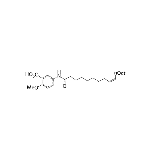 CCCCCCCC/C=C\CCCCCCCC(=O)Nc1ccc(OC)c(C(=O)O)c1